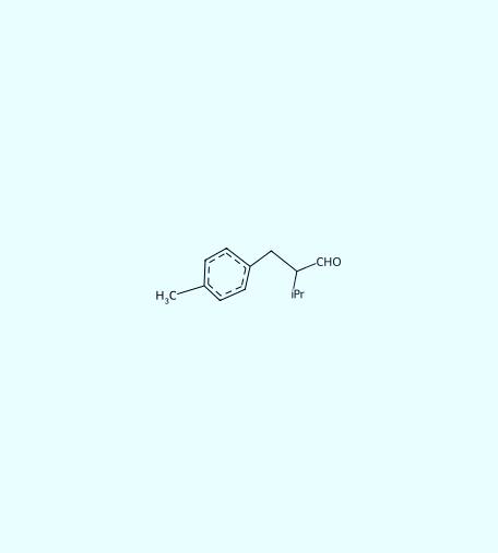 Cc1ccc(CC(C=O)C(C)C)cc1